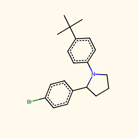 CC(C)(C)c1ccc(N2CCCC2c2ccc(Br)cc2)cc1